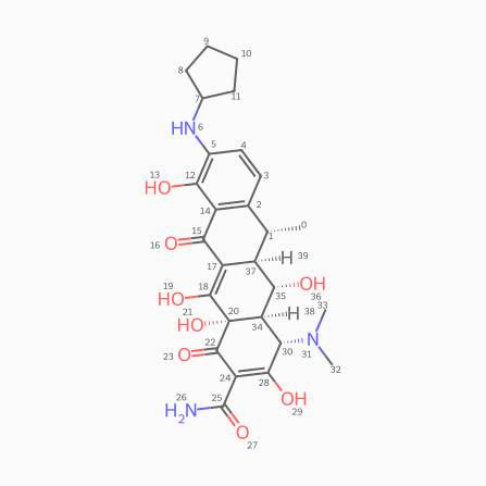 C[C@H]1c2ccc(NC3CCCC3)c(O)c2C(=O)C2=C(O)[C@]3(O)C(=O)C(C(N)=O)=C(O)[C@@H](N(C)C)[C@@H]3[C@@H](O)[C@@H]21